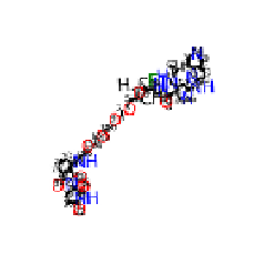 CC(C)(OCCOCCOCCOCCOCCNc1cccc2c1C(=O)N(C1CCC(=O)NC1=O)C2=O)C(F)CNC(=O)c1cnc(Nc2ccc3cnccc3n2)cc1NC1CC1